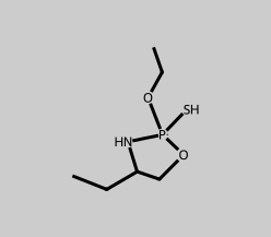 CCO[P]1(S)NC(CC)CO1